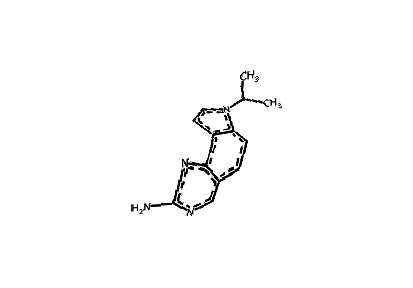 CC(C)n1ccc2c3nc(N)ncc3ccc21